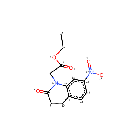 CCOC(=O)CN1C(=O)CCc2ccc([N+](=O)[O-])cc21